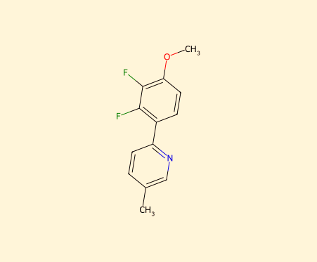 COc1ccc(-c2ccc(C)cn2)c(F)c1F